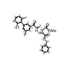 CCc1nccc(C)c1-c1cc(F)cc(C(=O)NC[C@@H](NC(=O)OCc2ccccc2)C(=O)OC)c1